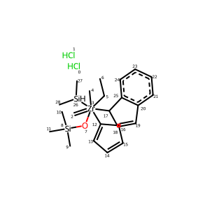 Cl.Cl.[CH2]=[Zr]([CH3])([CH2]C)([O][Si](C)(C)C)([C]1=CC=CC1)([CH]1C=Cc2ccccc21)[SiH](C)C